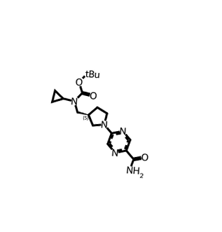 CC(C)(C)OC(=O)N(C[C@H]1CCN(c2cnc(C(N)=O)cn2)C1)C1CC1